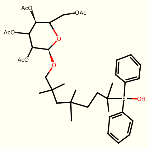 CC(=O)OCC1O[C@@H](OCC(C)(C)CC(C)(C)CCC(C)(C)[Si](O)(c2ccccc2)c2ccccc2)C(OC(C)=O)C(OC(C)=O)[C@H]1OC(C)=O